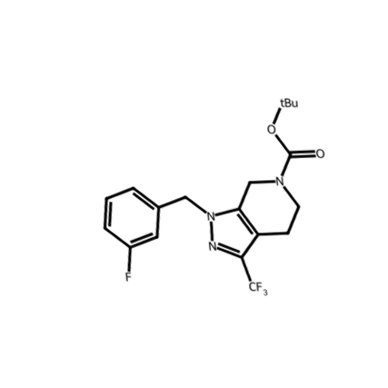 CC(C)(C)OC(=O)N1CCc2c(C(F)(F)F)nn(Cc3cccc(F)c3)c2C1